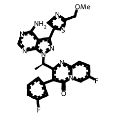 COCc1ncc(-c2nn([C@H](C)c3nc4ccc(F)cn4c(=O)c3-c3cccc(F)c3)c3ncnc(N)c23)s1